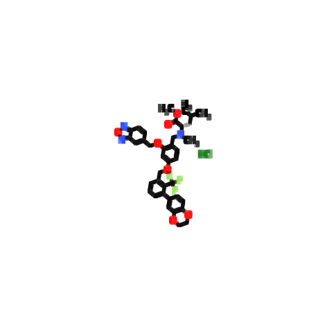 COC(=O)[C@H](CC(C)C)N(C)Cc1ccc(OCc2cccc(-c3ccc4c(c3)OCCO4)c2C(F)(F)F)cc1OCc1ccc2nonc2c1.Cl